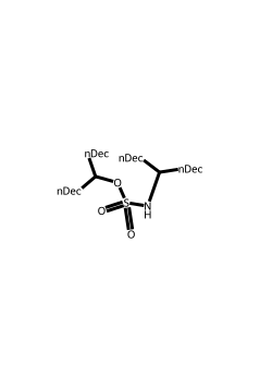 CCCCCCCCCCC(CCCCCCCCCC)NS(=O)(=O)OC(CCCCCCCCCC)CCCCCCCCCC